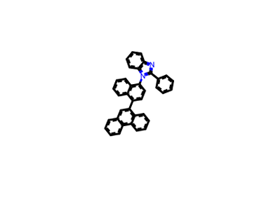 c1ccc(-c2nc3ccccc3n2-c2ccc(-c3cc4ccccc4c4ccccc34)c3ccccc23)cc1